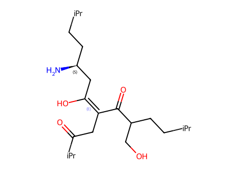 CC(C)CCC(CO)C(=O)/C(CC(=O)C(C)C)=C(/O)C[C@@H](N)CCC(C)C